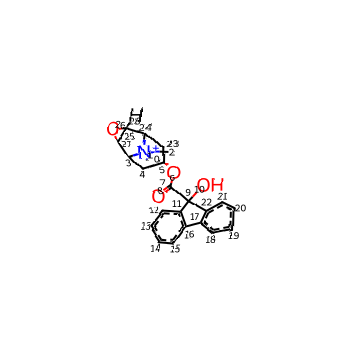 C[N+]1(C)C2C[C@H](OC(=O)C3(O)c4ccccc4-c4ccccc43)CC1[C@H]1OC21